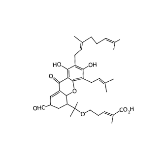 CC(C)=CCC/C(C)=C/Cc1c(O)c(CC=C(C)C)c2c(c1O)C(=O)C1=CC(C=O)CC(C(C)(C)OCC/C=C(\C)C(=O)O)C1O2